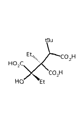 CC[C@@](O)(C(=O)O)[C@](CC)(C(=O)O)C(C(=O)O)C(C)(C)C